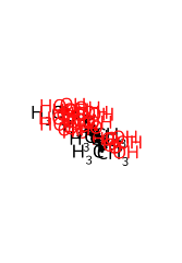 CC1OC(OC2C(O)C(CO)OC(OC3C(OC4C(O)CC5(C)C(CCC6(C)C5CC=C5C7CC(C)(C)CCC7(C(=O)OC7OC(CO)C(O)C(O)C7O)CCC56C)C4(C)C(=O)O)OC(CO)C(O)C3O)C2OC2OC(CO)C(O)C(O)C2O)C(O)C(O)C1O